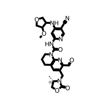 COC1COCC1Nc1cc(NC(=O)N2CCCc3cc(CN4C(=O)OC[C@@H]4C)c(C=O)nc32)ncc1C#N